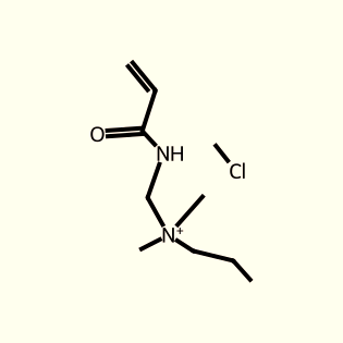 C=CC(=O)NC[N+](C)(C)CCC.CCl